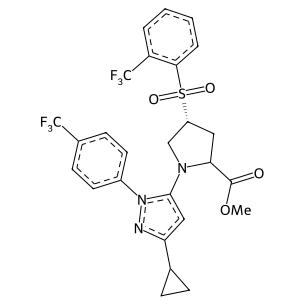 COC(=O)C1C[C@@H](S(=O)(=O)c2ccccc2C(F)(F)F)CN1c1cc(C2CC2)nn1-c1ccc(C(F)(F)F)cc1